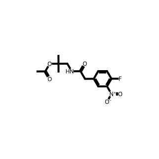 CC(=O)OC(C)(C)CNC(=O)Cc1ccc(F)c([N+](=O)[O-])c1